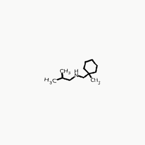 CC(C)CNCC1(C)CCCCC1